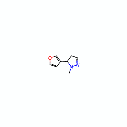 CN1N=CCC1c1ccoc1